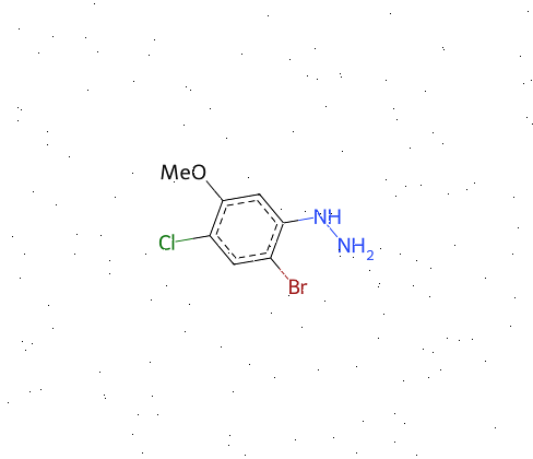 COc1cc(NN)c(Br)cc1Cl